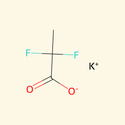 CC(F)(F)C(=O)[O-].[K+]